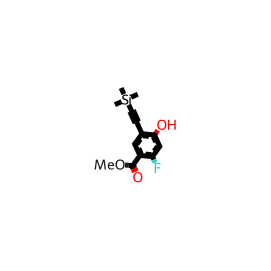 COC(=O)c1cc(C#C[Si](C)(C)C)c(O)cc1F